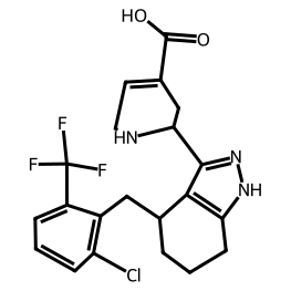 O=C(O)C1=CCNC(c2n[nH]c3c2C(Cc2c(Cl)cccc2C(F)(F)F)CCC3)C1